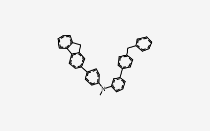 CN(c1ccc(-c2ccc3c(c2)Cc2ccccc2-3)cc1)c1cccc(-c2ccc(Cc3ccccc3)cc2)c1